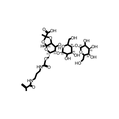 C=C(C)C(=O)NCCCNC(=O)OC[C@@H]1O[C@@H]2OC(C)(C(=O)O)OC2C(O)[C@@H]1O[C@@H]1OC(CO)[C@H](O[C@H]2OC(CO)[C@H](O)[C@H](O)C2O)[C@H](O)C1O